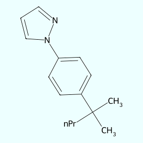 CCCC(C)(C)c1ccc(-n2cccn2)cc1